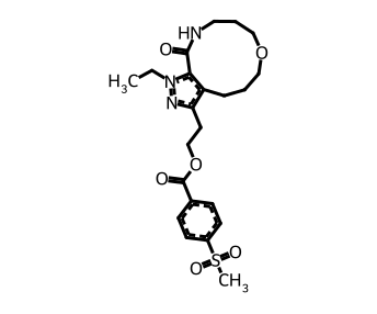 CCn1nc(CCOC(=O)c2ccc(S(C)(=O)=O)cc2)c2c1C(=O)NCCCOCCC2